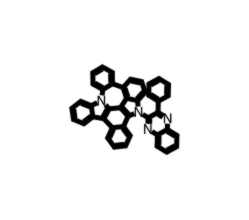 c1ccc(-c2nc3ccccc3nc2-n2c3cccc4c5ccccc5n5c6ccccc6c6c7ccccc7c2c(c43)c65)cc1